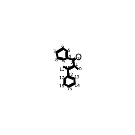 CC(C(=O)c1ccccc1)=C(C)c1ccccc1